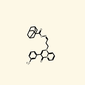 O=C(O/N=C\CCn1cc(-c2cccc(C(F)(F)F)c2)c(=O)[n+]2ccccc12)C12CC3CC(CC(C3)C1)C2